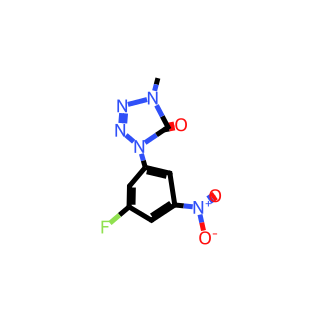 Cn1nnn(-c2cc(F)cc([N+](=O)[O-])c2)c1=O